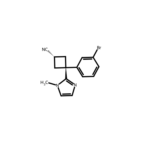 Cn1ccnc1[C@]1(c2cccc(Br)c2)C[C@@H](C#N)C1